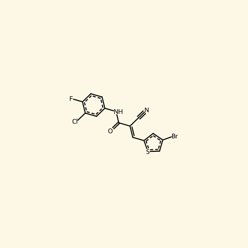 N#C/C(=C\c1cc(Br)cs1)C(=O)Nc1ccc(F)c(Cl)c1